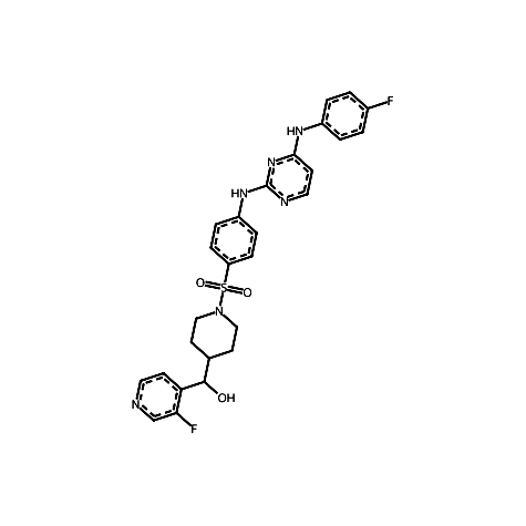 O=S(=O)(c1ccc(Nc2nccc(Nc3ccc(F)cc3)n2)cc1)N1CCC(C(O)c2ccncc2F)CC1